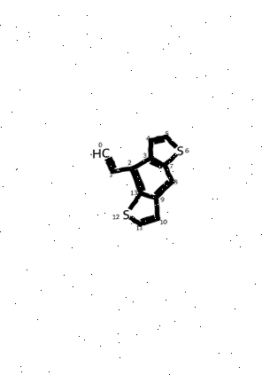 [CH]=Cc1c2ccsc2[c]c2ccsc12